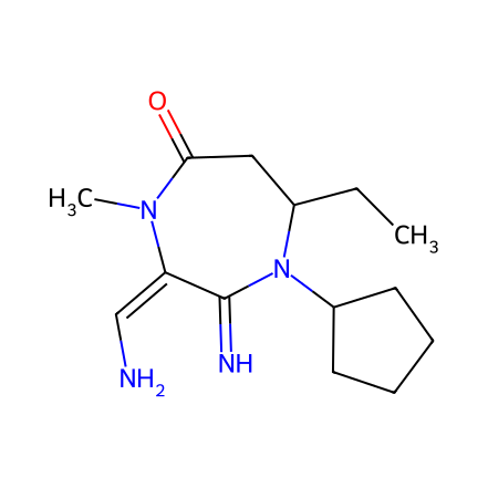 CCC1CC(=O)N(C)/C(=C/N)C(=N)N1C1CCCC1